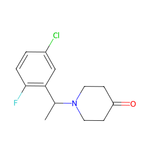 CC(c1cc(Cl)ccc1F)N1CCC(=O)CC1